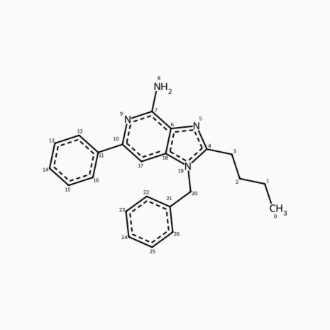 CCCCc1nc2c(N)nc(-c3ccccc3)cc2n1Cc1ccccc1